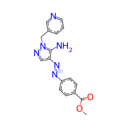 COC(=O)c1ccc(/N=N/c2cnn(Cc3cccnc3)c2N)cc1